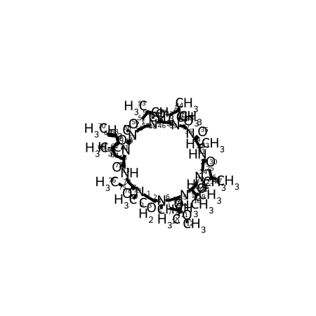 C=C1C(=O)N(C)[C@@H](CC(C)(C)OC)C(=O)NC(C(C)C)C(=O)N(C)[C@@H](CC(C)C)C(=O)N[C@H](C)C(=O)NC(=O)N(C)[C@H](CC(C)C)C(=O)N(C)[C@@H](CC(C)C)C(=O)N(C)C(=O)N(C)C(C[C@H](C)C/C=C/C)C(=O)N[C@@H](CC)C(=O)N1C